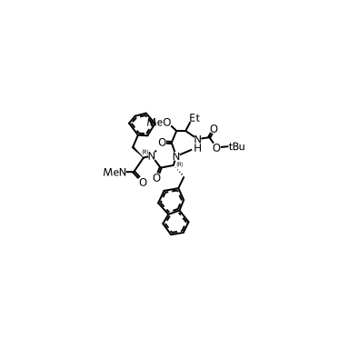 CCC(NC(=O)OC(C)(C)C)C(OC)C(=O)N(C)[C@H](Cc1ccc2ccccc2c1)C(=O)N(C)[C@H](Cc1ccccc1)C(=O)NC